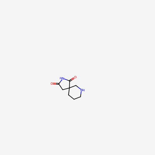 O=C1CC2(CCCNC2)C(=O)N1